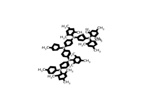 Cc1ccc(N(c2ccc(N(c3ccc(N(c4ccc(C)cc4)c4c(C)cc(C)cc4C)cc3)c3c(C)cc(C)cc3C)cc2)c2ccc(N(c3ccc(N(c4c(C)cc(C)cc4C)c4c(C)cc(C)cc4C)cc3)c3c(C)cc(C)cc3C)cc2)cc1